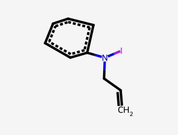 C=CCN(I)c1ccccc1